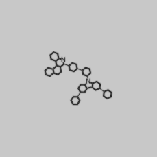 c1ccc(-c2ccc3c(c2)c2cc(-c4ccccc4)ccc2n3-c2cccc(-c3ccc(-c4nc5ccccc5c5c4ccc4ccccc45)cc3)c2)cc1